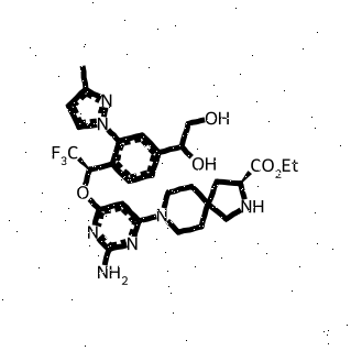 CCOC(=O)[C@@H]1CC2(CCN(c3cc(O[C@H](c4ccc(C(O)CO)cc4-n4ccc(C)n4)C(F)(F)F)nc(N)n3)CC2)CN1